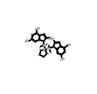 CCC1=Cc2c(C(C)C)cc(C(C)C)cc2[CH]1[Zr]([CH3])([CH3])[Si]1([Zr]([CH3])([CH3])[CH]2C(CC)=Cc3c(C(C)C)cc(C(C)C)cc32)CCCC1